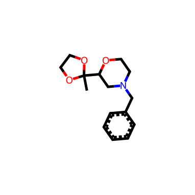 CC1(C2CN(Cc3ccccc3)CCO2)OCCO1